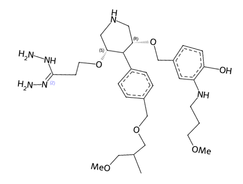 COCCCNc1cc(CO[C@H]2CNC[C@@H](OCC/C(=N/N)NN)C2c2ccc(COCC(C)COC)cc2)ccc1O